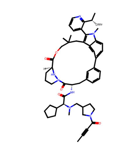 CC#CC(=O)N1CCC(CN(C)[C@H](C(=O)N[C@H]2Cc3cccc(c3)-c3ccc4c(c3)c(c(-c3cccnc3[C@H](C)OC)n4C)CC(C)(C)COC(=O)[C@@H]3CCCN(N3)C2=O)C2CCCC2)C1